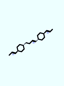 C/C=C/[C@H]1CC[C@H](/C=C/CC[C@H]2CC[C@H](/C=C/C)CC2)CC1